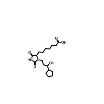 O=C(O)CCCCCCC1C(=O)NC(=S)N1CCC(O)C1CCCC1